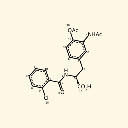 CC(=O)Nc1cc(C[C@H](NC(=O)c2ccccc2Cl)C(=O)O)ccc1OC(C)=O